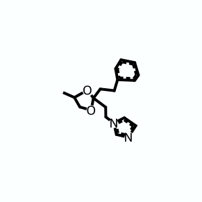 CC1COC(CCc2ccccc2)(CCn2ccnc2)O1